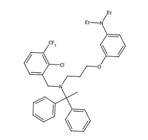 CCN(CC)c1cccc(OCCCN(Cc2cccc(C(F)(F)F)c2Cl)C(C)(c2ccccc2)c2ccccc2)c1